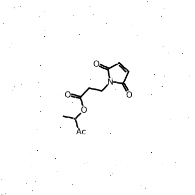 CC(=O)C(C)OC(=O)CCN1C(=O)C=CC1=O